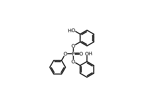 O=P(Oc1ccccc1)(Oc1ccccc1O)Oc1ccccc1O